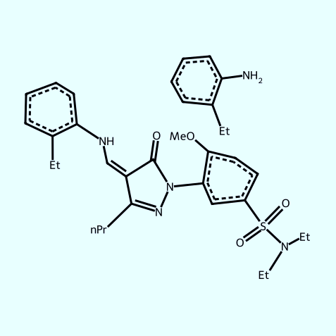 CCCC1=NN(c2cc(S(=O)(=O)N(CC)CC)ccc2OC)C(=O)C1=CNc1ccccc1CC.CCc1ccccc1N